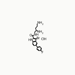 Cl.NCCCC(N)CNC(=O)c1[nH]c2ccc(-c3ccc(F)cc3)cc2c1Br